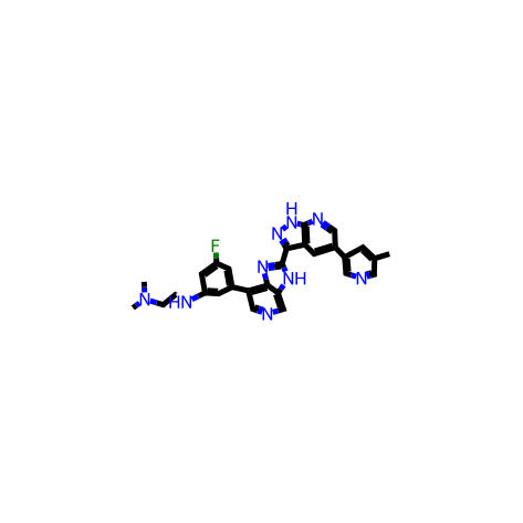 Cc1cncc(-c2cnc3[nH]nc(-c4nc5c(-c6cc(F)cc(NCCN(C)C)c6)cncc5[nH]4)c3c2)c1